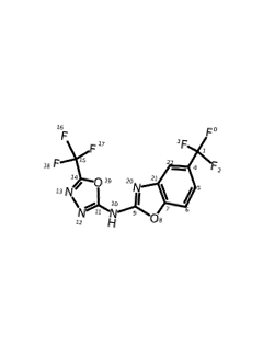 FC(F)(F)c1ccc2oc(Nc3nnc(C(F)(F)F)o3)nc2c1